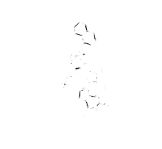 COc1nc(N)nc2c1ccn2[C@@H]1O[C@H](COP(=O)(N[C@@H](C)C(=O)OCC(C)(C)C)Oc2cccc3ccccc23)[C@H](F)[C@@]1(C)O